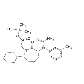 Cc1cccc(N(C(N)=O)C2CCCC(C3CCCCC3)N(CC(=O)OC(C)(C)C)C2=O)c1